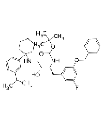 CC(C)c1cccc(C2(NC[C@@H](O)[C@H](Cc3cc(F)cc(OCc4ccccc4)c3)NC(=O)OC(C)(C)C)CCCCC2)c1